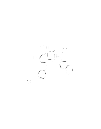 CCCCC(C(=O)NC(CC(=O)O)c1ccc2c(c1)OCO2)n1cc(C)cc(Cc2ccc(OC)cc2)c1=O